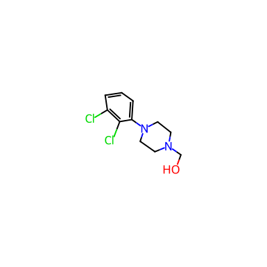 OCN1CCN(c2cccc(Cl)c2Cl)CC1